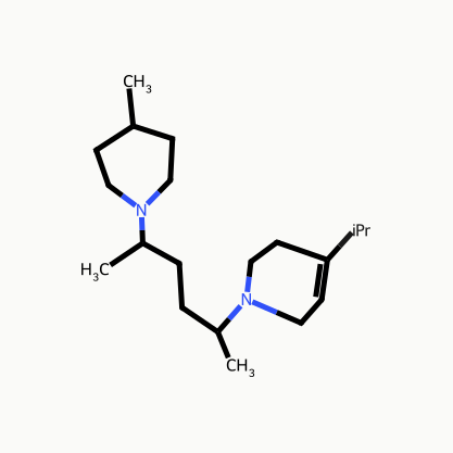 CC1CCN(C(C)CCC(C)N2CC=C(C(C)C)CC2)CC1